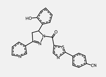 N#Cc1ccc(-c2ncc(C(=O)N3N=C(c4cccnc4)CC3c3ccccc3O)s2)cc1